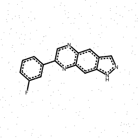 Fc1cccc(-c2cnc3cc4cn[nH]c4cc3n2)c1